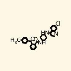 Cc1ccc(C(=O)c2ccccc2C(=O)NC2CCC(Nc3ccnc4cc(Cl)ccc34)CC2)cc1